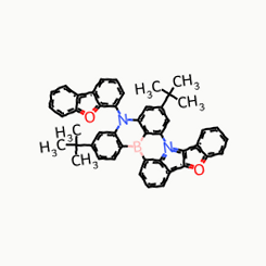 CC(C)(C)c1ccc2c(c1)N(c1cccc3c1oc1ccccc13)c1cc(C(C)(C)C)cc3c1B2c1cccc2c4oc5ccccc5c4n-3c12